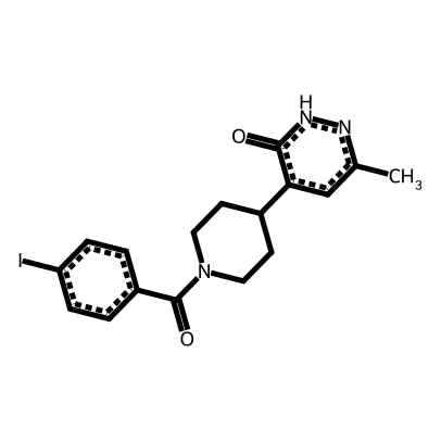 Cc1cc(C2CCN(C(=O)c3ccc(I)cc3)CC2)c(=O)[nH]n1